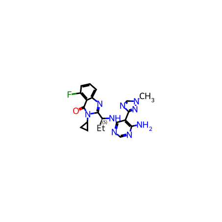 CC[C@H](Nc1ncnc(N)c1-c1ncn(C)n1)c1nc2cccc(F)c2c(=O)n1C1CC1